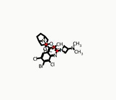 CN(C)C1CN(c2nc(N3CC4CCC(C3)N4C(=O)OC(C)(C)C)c3cc(Cl)c(Br)c(Cl)c3n2)C1